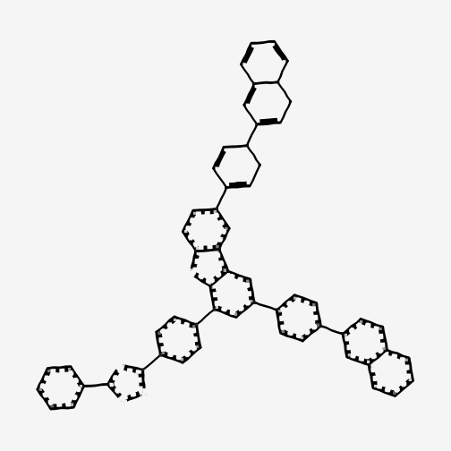 C1=CC2=CC(C3C=CC(c4ccc5sc6c(-c7ccc(-c8nnc(-c9ccccc9)o8)cc7)cc(-c7ccc(-c8ccc9ccccc9c8)cc7)cc6c5c4)=CC3)=CCC2C=C1